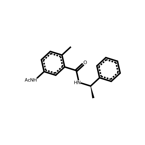 CC(=O)Nc1ccc(C)c(C(=O)N[C@H](C)c2ccccc2)c1